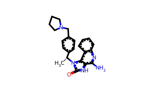 C[C@H](c1ccc(CN2CCCC2)cc1)n1c(=O)[nH]c2c(N)nc3ccccc3c21